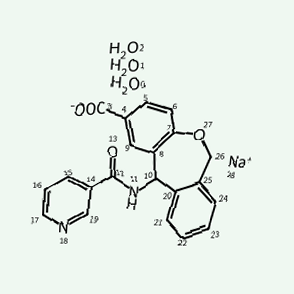 O.O.O.O=C([O-])c1ccc2c(c1)C(NC(=O)c1cccnc1)c1ccccc1CO2.[Na+]